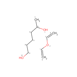 C=COC=C.CC(O)CCCCO